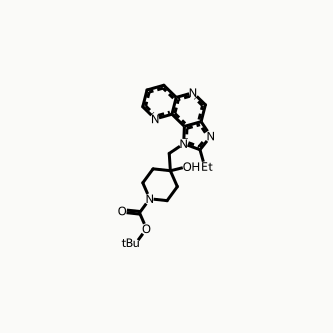 CCc1nc2cnc3cccnc3c2n1CC1(O)CCN(C(=O)OC(C)(C)C)CC1